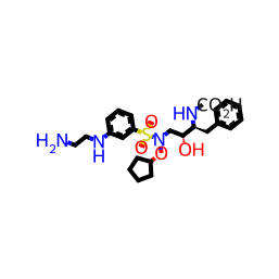 NCCNc1cccc(S(=O)(=O)N(C[C@@H](O)[C@H](Cc2ccccc2)NC(=O)O)OC2CCCC2)c1